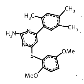 COc1ccc(OC)c(Sc2cc(-c3cc(C)c(C)cc3C)nc(N)n2)c1